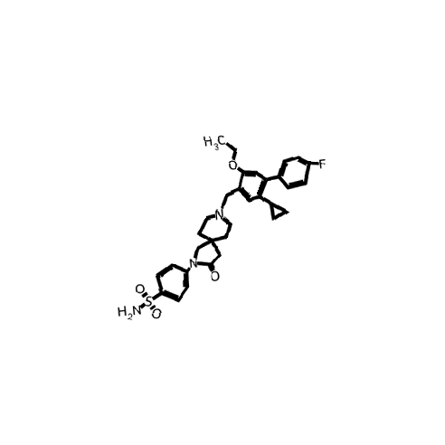 CCOc1cc(-c2ccc(F)cc2)c(C2CC2)cc1CN1CCC2(CC1)CC(=O)N(c1ccc(S(N)(=O)=O)cc1)C2